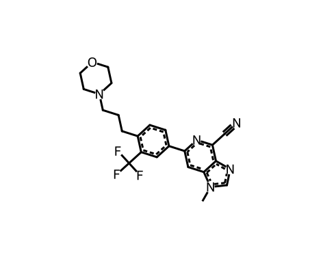 Cn1cnc2c(C#N)nc(-c3ccc(CCCN4CCOCC4)c(C(F)(F)F)c3)cc21